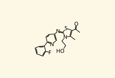 CC(=O)c1sc(=Nc2ccc(-c3ccccc3F)nc2)n(CCO)c1C